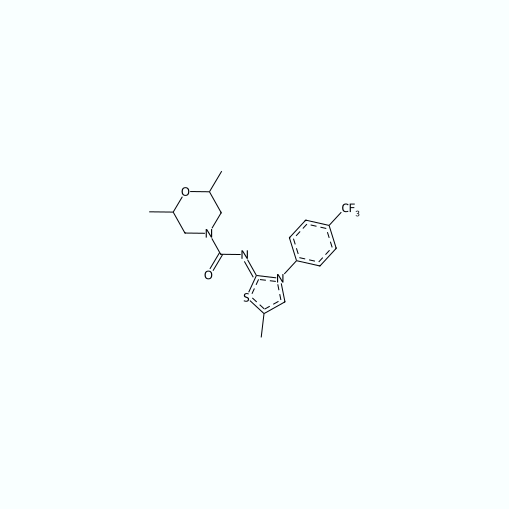 Cc1cn(-c2ccc(C(F)(F)F)cc2)c(=NC(=O)N2CC(C)OC(C)C2)s1